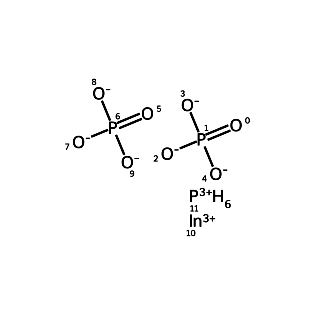 O=P([O-])([O-])[O-].O=P([O-])([O-])[O-].[In+3].[PH6+3]